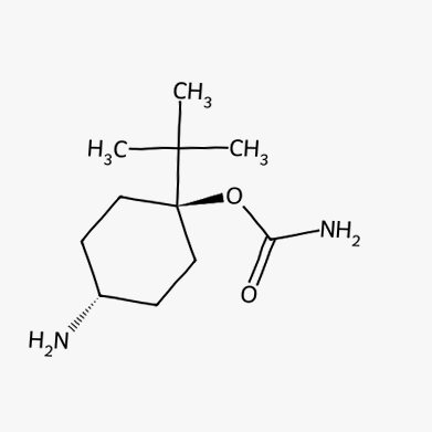 CC(C)(C)[C@]1(OC(N)=O)CC[C@H](N)CC1